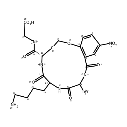 CCCC1NC(=O)c2cc([N+](=O)[O-])ccc2OCC[C@@H](C(=O)NCC(=O)O)NC(=O)C(CCCCN)NC1=O